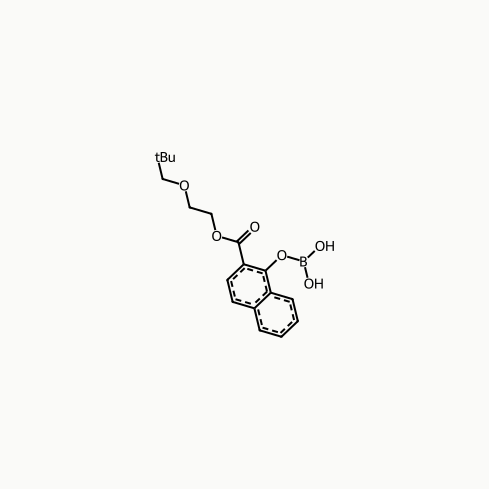 CC(C)(C)COCCOC(=O)c1ccc2ccccc2c1OB(O)O